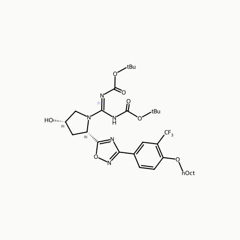 CCCCCCCCOc1ccc(-c2noc([C@@H]3C[C@H](O)CN3/C(=N/C(=O)OC(C)(C)C)NC(=O)OC(C)(C)C)n2)cc1C(F)(F)F